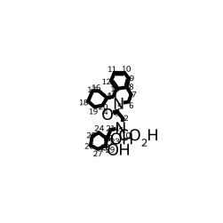 O=C(O)N(CC(=O)N1CCc2ccccc2C1C1CCCCC1)C[C@]1(O)CCCC[C@@H]1O